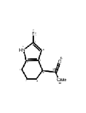 CCc1cc2c([nH]1)CCCC2C(=O)OC